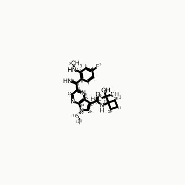 CNc1cc(F)ccc1C(=N)c1cnc2c(n1)c(C(=O)NC1(C(C)(C)O)CCC1)cn2SF